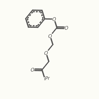 CC(C)C(=O)COCOC(=O)Oc1ccccc1